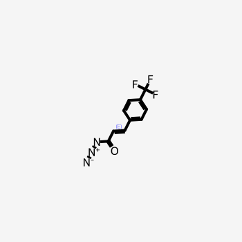 [N-]=[N+]=NC(=O)/C=C/c1ccc(C(F)(F)F)cc1